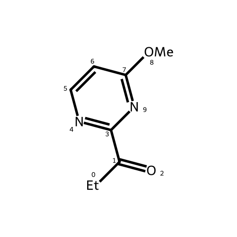 CCC(=O)c1nccc(OC)n1